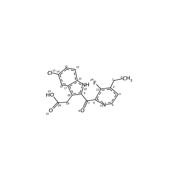 CCc1ccnc(C(=O)c2[nH]c3ccc(Cl)cc3c2CC(=O)O)c1F